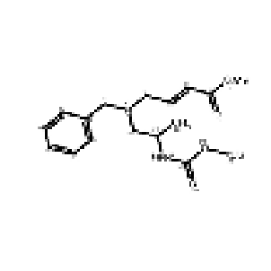 COC(=O)C=CCN(Cc1ccccc1)CC(C)NC(=O)OC(C)(C)C